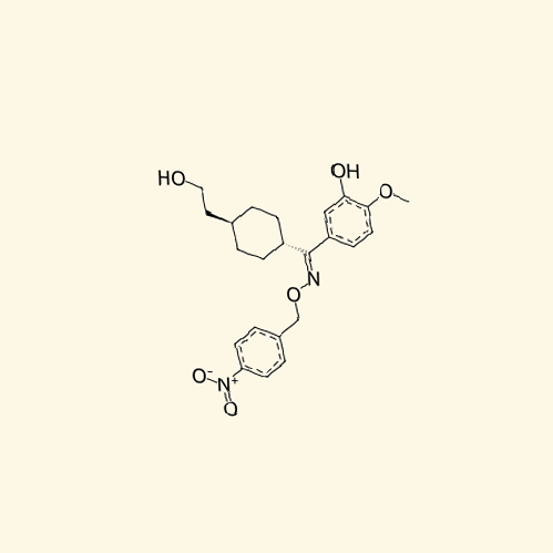 COc1ccc(C(=NOCc2ccc([N+](=O)[O-])cc2)[C@H]2CC[C@H](CCO)CC2)cc1O